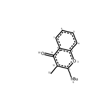 CCCCc1oc2ccccc2c(=O)c1C